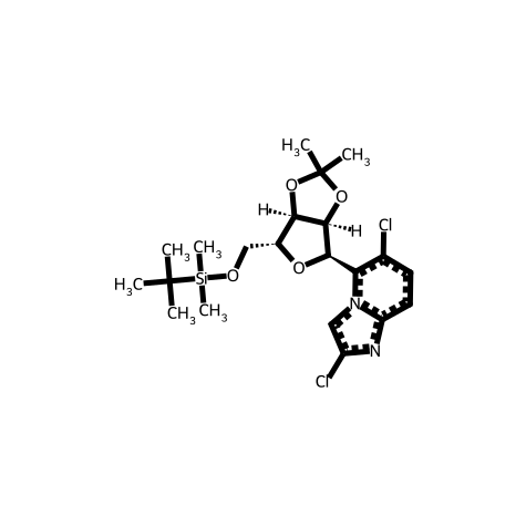 CC1(C)O[C@@H]2[C@H](O1)[C@@H](CO[Si](C)(C)C(C)(C)C)O[C@@H]2c1c(Cl)ccc2nc(Cl)cn12